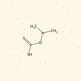 CN(C)OC(=S)S